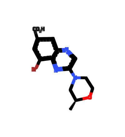 C[C@@H]1CN(c2cnc3cc(C(=O)O)cc(Br)c3n2)CCO1